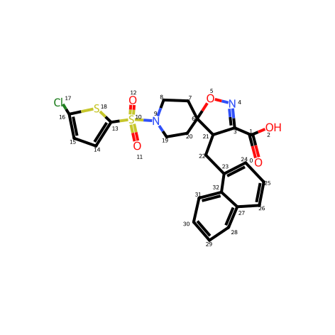 O=C(O)C1=NOC2(CCN(S(=O)(=O)c3ccc(Cl)s3)CC2)C1Cc1cccc2ccccc12